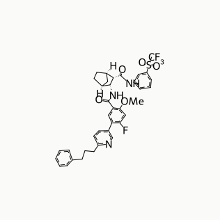 COc1cc(F)c(-c2ccc(CCCc3ccccc3)nc2)cc1C(=O)N[C@@H]1[C@H]2CC[C@H](C2)[C@@H]1C(=O)Nc1cccc(S(=O)(=O)C(F)(F)F)c1